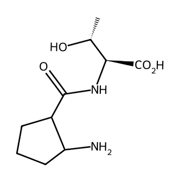 C[C@@H](O)[C@H](NC(=O)C1CCCC1N)C(=O)O